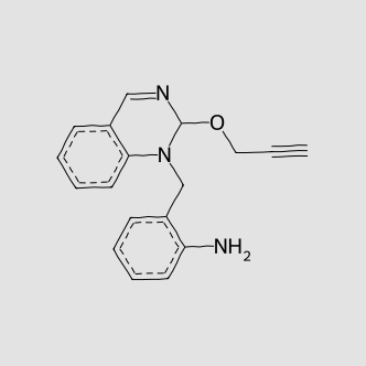 C#CCOC1N=Cc2ccccc2N1Cc1ccccc1N